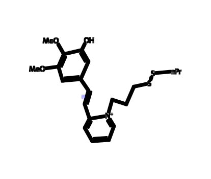 CCCSSCCC[n+]1ccccc1/C=C/c1cc(O)c(OC)c(OC)c1